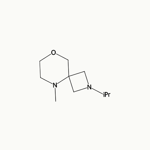 CC(C)N1CC2(COCCN2C)C1